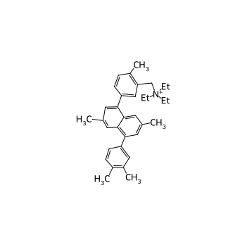 CC[N+](CC)(CC)Cc1cc(-c2cc(C)cc3c(-c4ccc(C)c(C)c4)cc(C)cc23)ccc1C